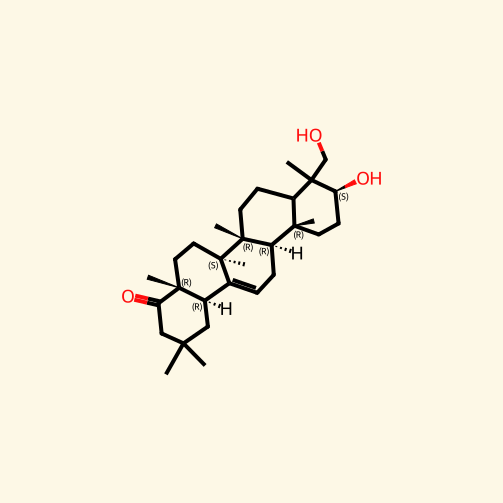 CC1(C)CC(=O)[C@]2(C)CC[C@]3(C)C(=CC[C@@H]4[C@@]5(C)CC[C@H](O)C(C)(CO)C5CC[C@]43C)[C@H]2C1